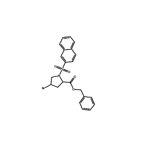 O=C(OCc1ccccc1)C1CC(Br)CN1S(=O)(=O)c1ccc2ccccc2c1